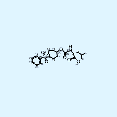 COC(=O)[C@H](CC(C)C)NC(=O)OC1CCN(S(=O)(=O)c2ccccc2)CC1